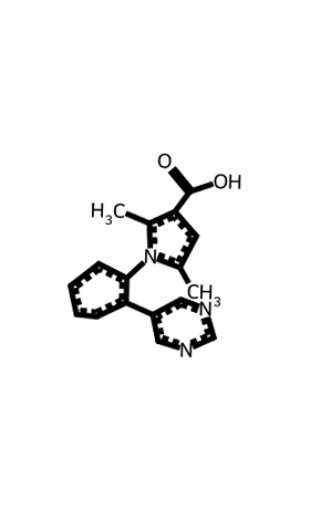 Cc1cc(C(=O)O)c(C)n1-c1ccccc1-c1cncnc1